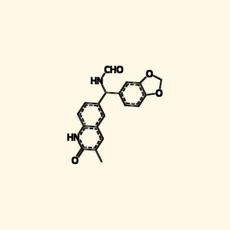 Cc1cc2cc(C(NC=O)c3ccc4c(c3)OCO4)ccc2[nH]c1=O